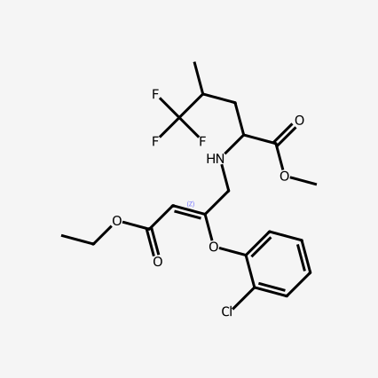 CCOC(=O)/C=C(/CNC(CC(C)C(F)(F)F)C(=O)OC)Oc1ccccc1Cl